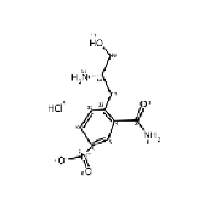 Cl.NC(=O)c1cc([N+](=O)[O-])ccc1C[C@H](N)CO